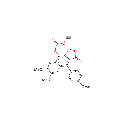 COc1ccc(-c2c3c(c(OC(=O)OC(C)(C)C)c4cc(OC)c(OC)cc24)COC3=O)cc1